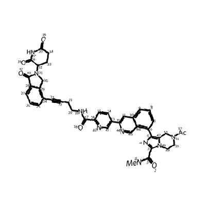 CNC(=O)c1nc(-c2cccc3cc(-c4ccc(C(=O)NCCC#Cc5cccc6c5CN(C5CCC(=O)NC5=O)C6=O)nc4)ncc23)c2n1CCN(C(C)=O)C2